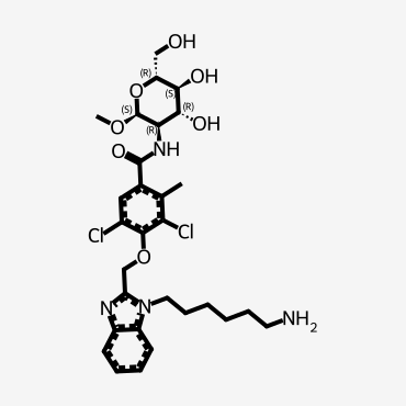 CO[C@H]1O[C@H](CO)[C@@H](O)[C@H](O)[C@H]1NC(=O)c1cc(Cl)c(OCc2nc3ccccc3n2CCCCCCN)c(Cl)c1C